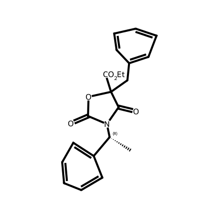 CCOC(=O)C1(Cc2ccccc2)OC(=O)N([C@H](C)c2ccccc2)C1=O